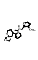 COc1ccsc1CNCC[C@@]1(c2ccccn2)CCO[C@@]2(CCOC2)C1